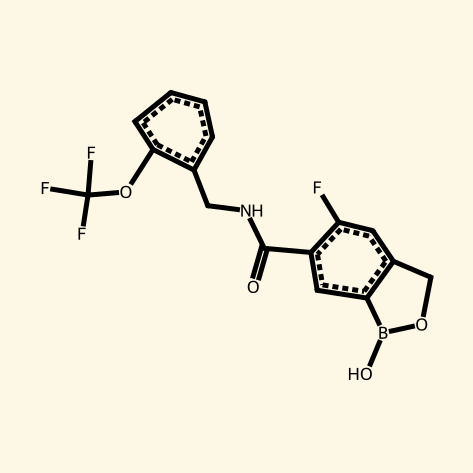 O=C(NCc1ccccc1OC(F)(F)F)c1cc2c(cc1F)COB2O